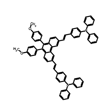 COc1ccc(-c2c(-c3ccc(OC)cc3)c3ccc(/C=C/c4ccc(N(c5ccccc5)c5ccccc5)cc4)cc3c3cc(/C=C/c4ccc(N(c5ccccc5)c5ccccc5)cc4)ccc23)cc1